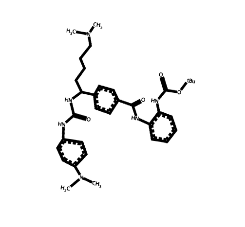 CN(C)CCCCC(NC(=O)Nc1ccc(N(C)C)cc1)c1ccc(C(=O)Nc2ccccc2NC(=O)OC(C)(C)C)cc1